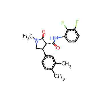 Cc1ccc([C@H]2CN(C)C(=O)[C@@H]2C(=O)Nc2cccc(F)c2F)cc1C